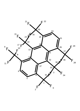 FC(F)(F)c1ccc(C(F)(F)F)c2c(C(F)(F)F)c3c(C(F)(F)F)ccc(C(F)(F)F)c3c(C(F)(F)F)c12